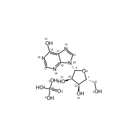 O=P(O)(O)O.OC[C@H]1O[C@@H](n2cnc3c(O)ncnc32)[C@H](O)[C@@H]1O